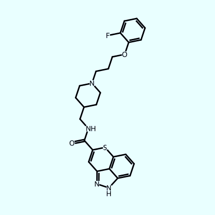 O=C(NCC1CCN(CCCOc2ccccc2F)CC1)C1=Cc2n[nH]c3cccc(c23)S1